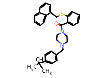 CC(C)(C)c1ccc(CN2CCN(C(=O)c3ccccc3SCc3cccc4ccccc34)CC2)cc1